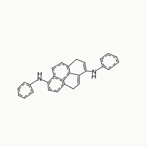 C1=C(Nc2ccccc2)C2=CCc3ccc(Nc4ccccc4)c4ccc(c2c34)C1